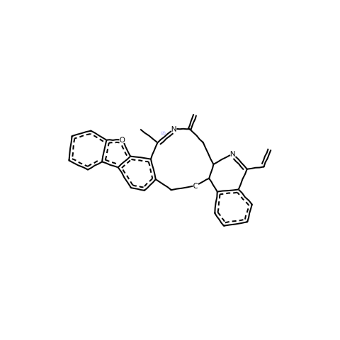 C=CC1=NC2CC(=C)/N=C(/C)c3c(ccc4c3oc3ccccc34)CCC2c2ccccc21